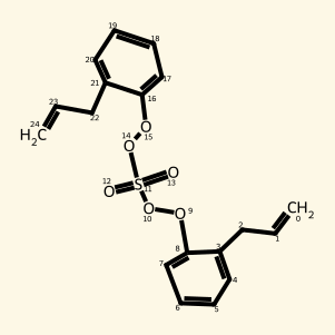 C=CCc1ccccc1OOS(=O)(=O)OOc1ccccc1CC=C